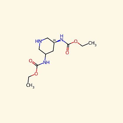 CCOC(=O)NC1CNC[C@@H](NC(=O)OCC)C1